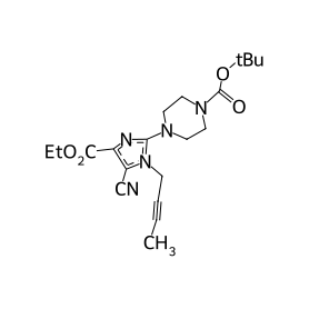 CC#CCn1c(N2CCN(C(=O)OC(C)(C)C)CC2)nc(C(=O)OCC)c1C#N